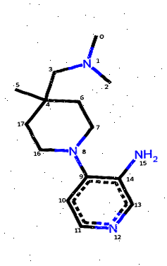 CN(C)CC1(C)CCN(c2ccncc2N)CC1